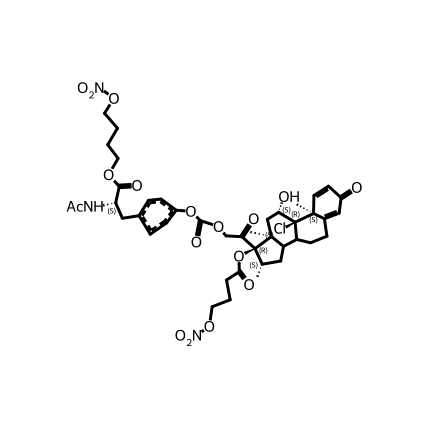 CC(=O)N[C@@H](Cc1ccc(OC(=O)OCC(=O)[C@@]2(OC(=O)CCCO[N+](=O)[O-])[C@@H](C)CC3C4CCC5=CC(=O)C=C[C@]5(C)[C@@]4(Cl)[C@@H](O)C[C@@]32C)cc1)C(=O)OCCCCO[N+](=O)[O-]